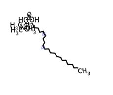 CCCCCCCCCCCC/C=C\CC/C=C\CCCCC(O)(C[N+](C)(C)C)P(=O)(O)O